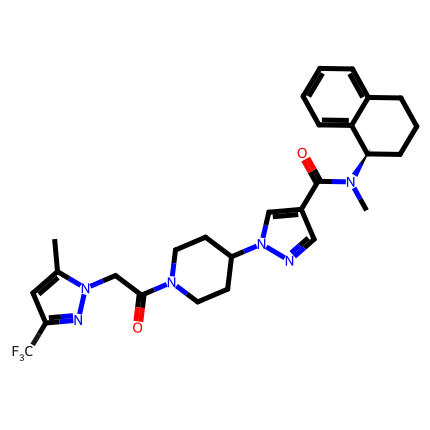 Cc1cc(C(F)(F)F)nn1CC(=O)N1CCC(n2cc(C(=O)N(C)[C@@H]3CCCc4ccccc43)cn2)CC1